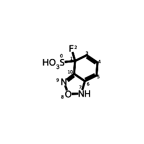 O=S(=O)(O)C1(F)C=CC=C2NON=C21